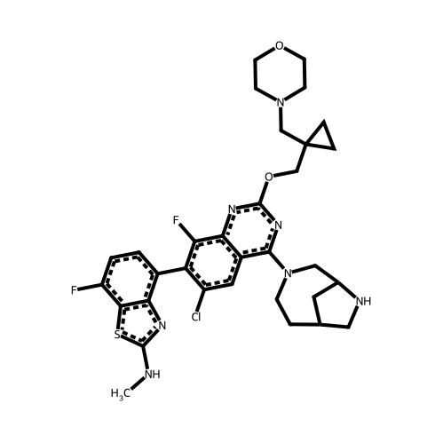 CNc1nc2c(-c3c(Cl)cc4c(N5CCC6CNC(C6)C5)nc(OCC5(CN6CCOCC6)CC5)nc4c3F)ccc(F)c2s1